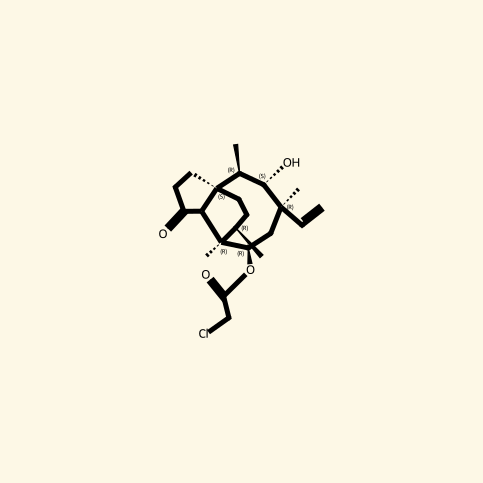 C=C[C@@]1(C)C[C@@H](OC(=O)CCl)[C@@]2(C)C3C(=O)CC[C@@]3(CC[C@H]2C)[C@@H](C)[C@@H]1O